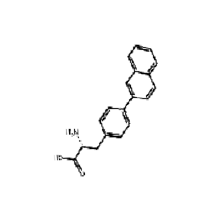 N[C@H](Cc1ccc(-c2ccc3ccccc3c2)cc1)C(=O)O